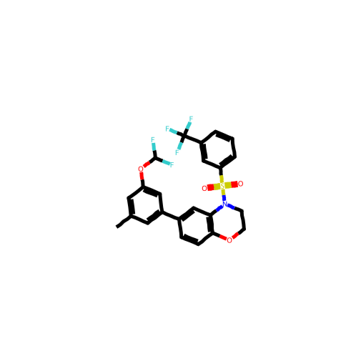 Cc1cc(OC(F)F)cc(-c2ccc3c(c2)N(S(=O)(=O)c2cccc(C(F)(F)F)c2)CCO3)c1